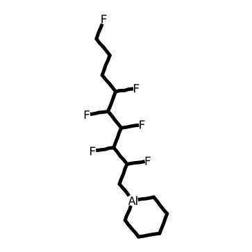 FCCCC(F)C(F)C(F)C(F)C(F)[CH2][Al]1[CH2]CCC[CH2]1